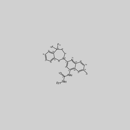 CCNC(=O)Nc1cc(N2CCC(F)(F)c3ccccc3C2)nc2ccc(C)cc12